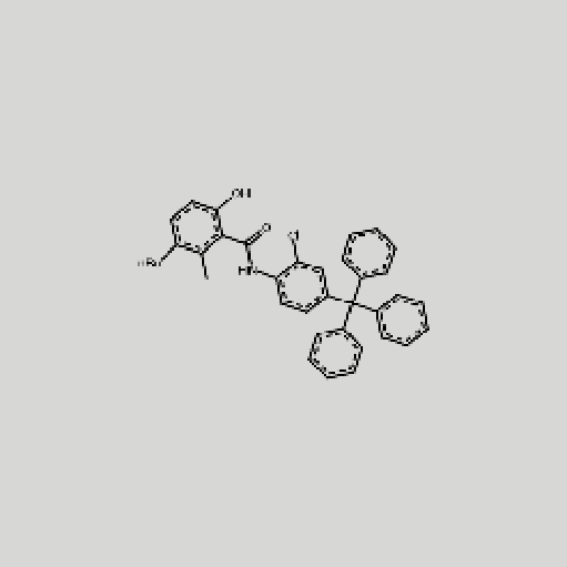 CCCCc1ccc(O)c(C(=O)Nc2ccc(C(c3ccccc3)(c3ccccc3)c3ccccc3)cc2Cl)c1C